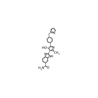 Cn1nc(-c2ccc(Cn3cccn3)cc2)c(O)c1-c1nc2ccc(C(N)=O)cc2[nH]1